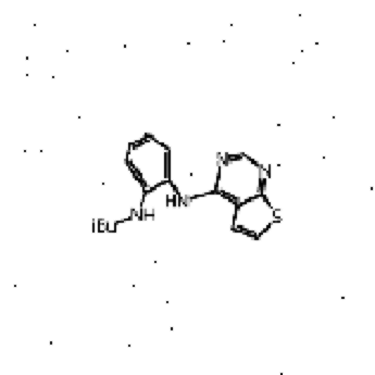 CCC(C)Nc1ccccc1Nc1ncnc2sccc12